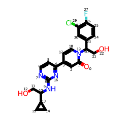 O=c1cc(-c2ccnc(NC(CO)C3CC3)n2)ccn1C(CO)c1ccc(F)c(Cl)c1